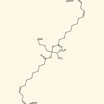 CCCCC/C=C\C/C=C\CCCCCCCC(=O)OC(CCCCCCCCCCCCC)(OC(=O)CCCCCCC/C=C\C/C=C\CCCCC)C(C)C(=O)O